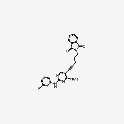 CNc1nc(Nc2cccc(F)c2)ncc1C#CCCCN1C(=O)c2ccccc2C1=O